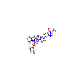 O=C(NC1CC1)c1ccc(C2CSC(NC(=O)C3Cc4ccccc4N3C(=O)OCc3ccccc3)=N2)cc1